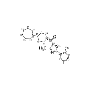 Cc1nc(-c2ccccc2F)sc1C(=O)N1CCC(N2CCCCCC2)CC1